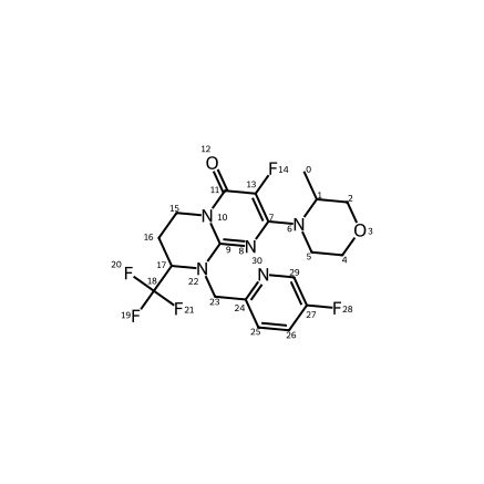 CC1COCCN1c1nc2n(c(=O)c1F)CCC(C(F)(F)F)N2Cc1ccc(F)cn1